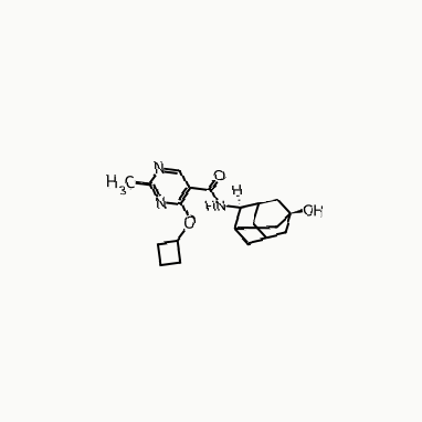 Cc1ncc(C(=O)N[C@H]2C3CC4CC2C[C@@](O)(C4)C3)c(OC2CCC2)n1